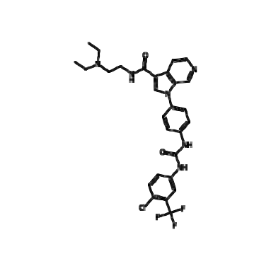 CCN(CC)CCNC(=O)c1cn(-c2ccc(NC(=O)Nc3ccc(Cl)c(C(F)(F)F)c3)cc2)c2cnccc12